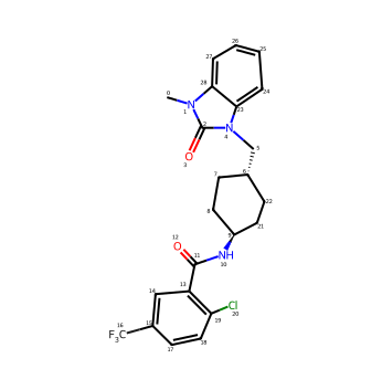 Cn1c(=O)n(C[C@H]2CC[C@H](NC(=O)c3cc(C(F)(F)F)ccc3Cl)CC2)c2ccccc21